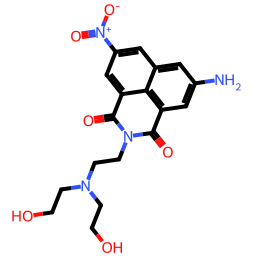 Nc1cc2c3c(cc([N+](=O)[O-])cc3c1)C(=O)N(CCN(CCO)CCO)C2=O